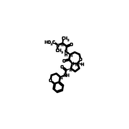 C[C@@H](C(=O)N[C@H]1CCO[C@H]2CC[C@H](C(=O)N[C@@H]3CCOc4ccccc43)N2C1=O)N(C)C(=O)O